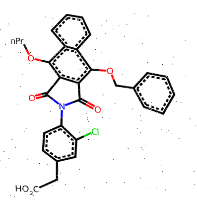 CCCOc1c2c(c(OCc3ccccc3)c3ccccc13)C(=O)N(c1ccc(CC(=O)O)cc1Cl)C2=O